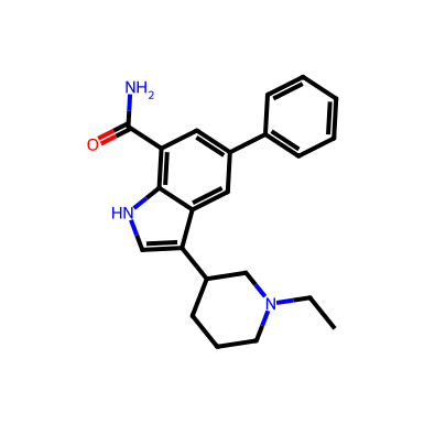 CCN1CCCC(c2c[nH]c3c(C(N)=O)cc(-c4ccccc4)cc23)C1